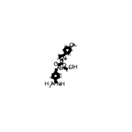 CCO[C@@H](C(=O)NCc1ccc(C(=N)N)cc1)n1ccc(-c2ccc(OC)cc2)n1.Cl